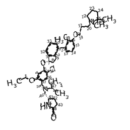 CCOc1cc(O[C@H]2CCc3c(-c4cccc(OCCCN5CCCC5(C)C)c4C)cccc32)c(Cl)cc1CN(C[C@@H]1CCC(=O)N1)C(C)C